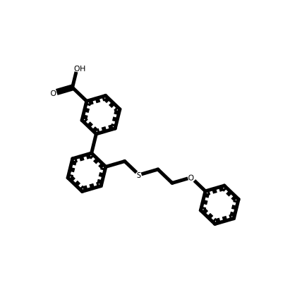 O=C(O)c1cccc(-c2ccccc2CSCCOc2ccccc2)c1